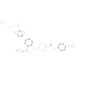 Cc1ccc(CC(=O)N2CCC(Oc3ccc(-c4cn(C[C@@H](O)CO)cn4)cc3C(N)=O)CC2)cc1